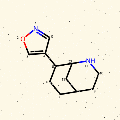 c1nocc1C1CCC2CCNC1C2